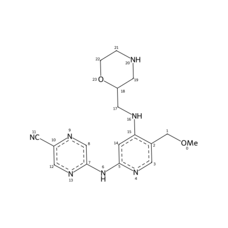 COCc1cnc(Nc2cnc(C#N)cn2)cc1NCC1CNCCO1